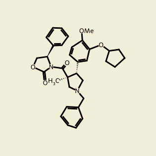 COc1ccc([C@@H]2CN(Cc3ccccc3)C[C@@]2(C)C(=O)N2C(=O)OC[C@H]2c2ccccc2)cc1OC1CCCC1